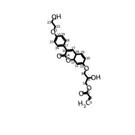 C=CC(=O)OCC(O)COC1=CC2OC(=O)C(c3ccc(OCCO)cc3)=CC2C=C1